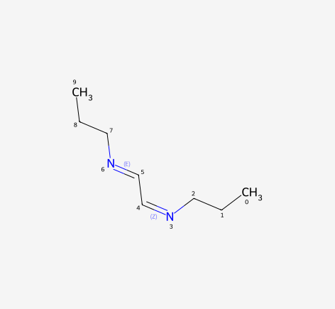 CCC/N=C\C=N\CCC